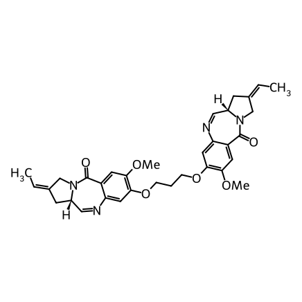 CC=C1C[C@H]2C=Nc3cc(OCCCOc4cc5c(cc4OC)C(=O)N4CC(=CC)C[C@H]4C=N5)c(OC)cc3C(=O)N2C1